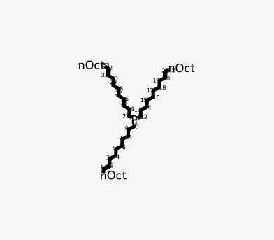 CCCCCCCCC=CCCCCCCCCP(CCCCCCCCC=CCCCCCCCC)CCCCCCCCC=CCCCCCCCC